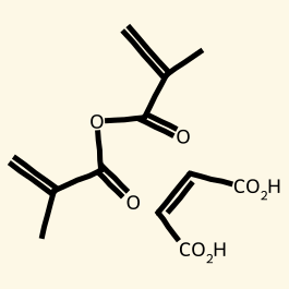 C=C(C)C(=O)OC(=O)C(=C)C.O=C(O)/C=C\C(=O)O